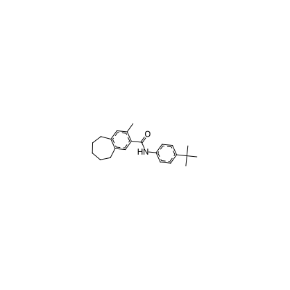 Cc1cc2c(cc1C(=O)Nc1ccc(C(C)(C)C)cc1)CCCCC2